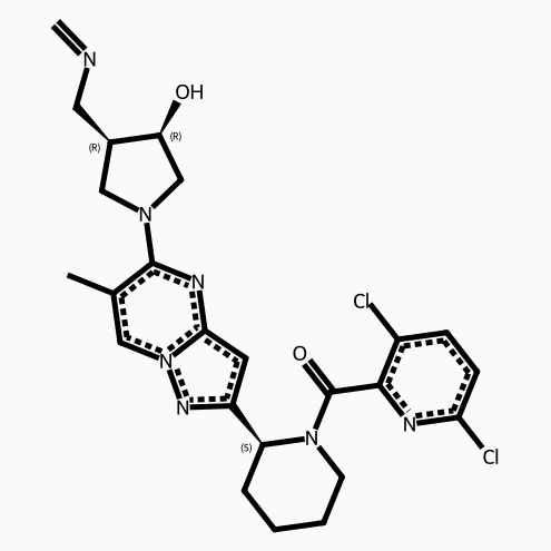 C=NC[C@@H]1CN(c2nc3cc([C@@H]4CCCCN4C(=O)c4nc(Cl)ccc4Cl)nn3cc2C)C[C@@H]1O